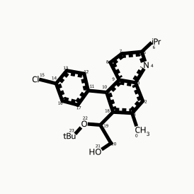 Cc1cc2nc(C(C)C)ccc2c(-c2ccc(Cl)cc2)c1C(CO)OC(C)(C)C